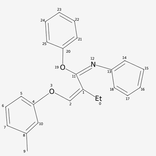 CCC(=COc1cccc(C)c1)C(=Nc1ccccc1)Oc1ccccc1